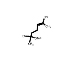 CCC/C(C)=C/CCC(C)(CC)OC